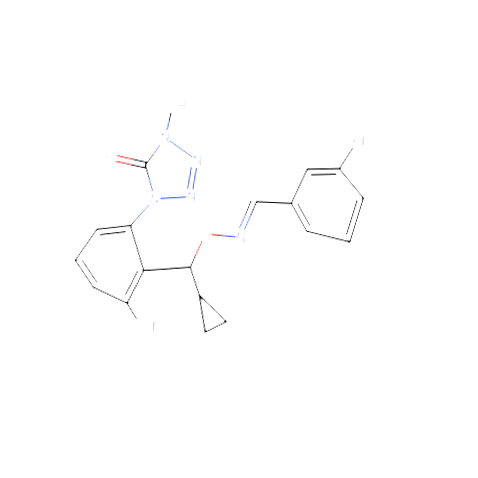 Cc1cccc(-n2nnn(C)c2=O)c1C(ON=Cc1cccc(C(F)(F)F)c1)C1CC1